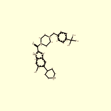 O=C(c1nc2cc(C3CCNCC3)c(F)cc2[nH]1)N1CCN(Cc2ccc(C(F)(F)F)cc2)CC1